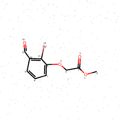 COC(=O)COc1cccc(C=O)c1Br